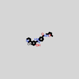 COc1ncccc1-c1ccc(O)c(-c2nc3ccc(C(=O)NCc4ccc(C)o4)cc3[nH]2)c1